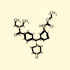 CCOC(=O)Nc1cccc([C@@H](c2ccc(C(=O)N(CC)CC)cc2)N2CCNCC2)c1